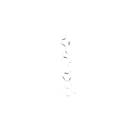 Cc1ccc(-c2nc(CCOc3cccc(CN4CCCCC4C(=O)O)c3)c(C)o2)cc1